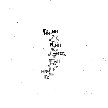 CC(C)NC(=N)c1ccc2[nH]c(-c3ccc(-c4nc5cc(C(=N)NC(C)C)ccc5[nH]4)cc3)nc2c1.Cl.Cl.Cl.Cl